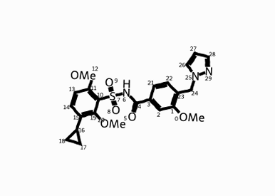 COc1cc(C(=O)NS(=O)(=O)c2c(OC)ccc(C3CC3)c2OC)ccc1Cn1cccn1